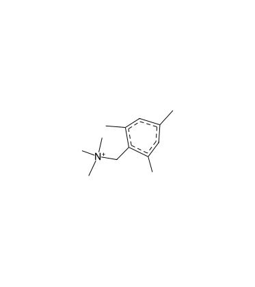 Cc1cc(C)c(C[N+](C)(C)C)c(C)c1